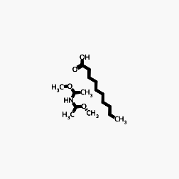 CCCCCCCCCC(=O)O.COC(C)NC(C)OC